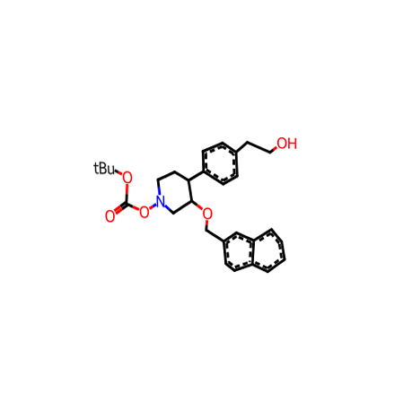 CC(C)(C)OC(=O)ON1CCC(c2ccc(CCO)cc2)C(OCc2ccc3ccccc3c2)C1